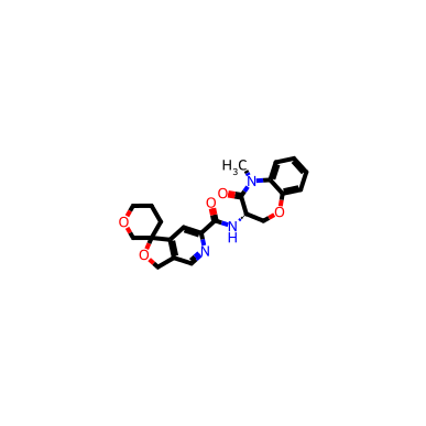 CN1C(=O)[C@@H](NC(=O)c2cc3c(cn2)COC32CCCOC2)COc2ccccc21